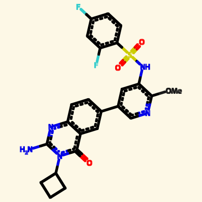 COc1ncc(-c2ccc3nc(N)n(C4CCC4)c(=O)c3c2)cc1NS(=O)(=O)c1ccc(F)cc1F